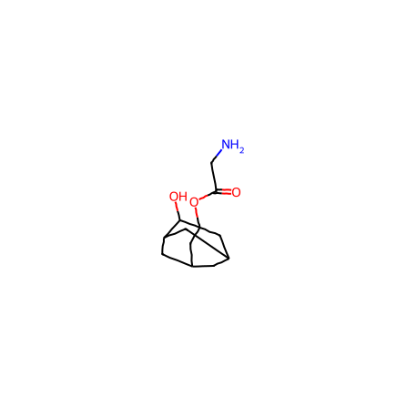 NCC(=O)OC12CC3CC(CC(C3)C1O)C2